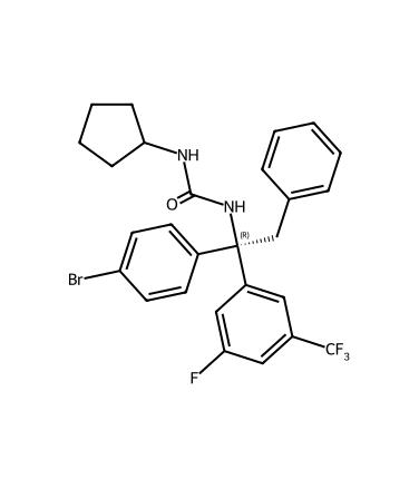 O=C(NC1CCCC1)N[C@](Cc1ccccc1)(c1ccc(Br)cc1)c1cc(F)cc(C(F)(F)F)c1